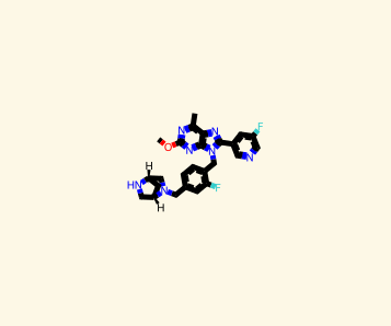 COc1nc(C)c2nc(-c3cncc(F)c3)n(Cc3ccc(CN4C[C@@H]5C[C@H]4CN5)cc3F)c2n1